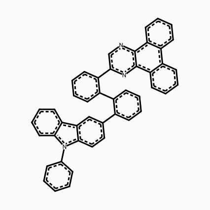 c1ccc(-n2c3ccccc3c3cc(-c4ccccc4-c4ccccc4-c4cnc5c6ccccc6c6ccccc6c5n4)ccc32)cc1